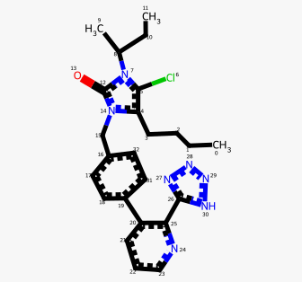 CCCCc1c(Cl)n(C(C)CC)c(=O)n1Cc1ccc(-c2cccnc2-c2nnn[nH]2)cc1